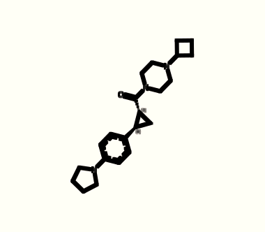 O=C([C@@H]1C[C@H]1c1ccc(N2CCCC2)cc1)N1CCN(C2CCC2)CC1